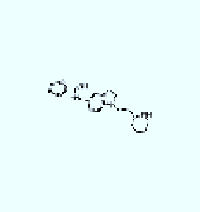 N=C(Nc1ccc2c(ccn2CCC2CCCCN2)c1)c1cccs1